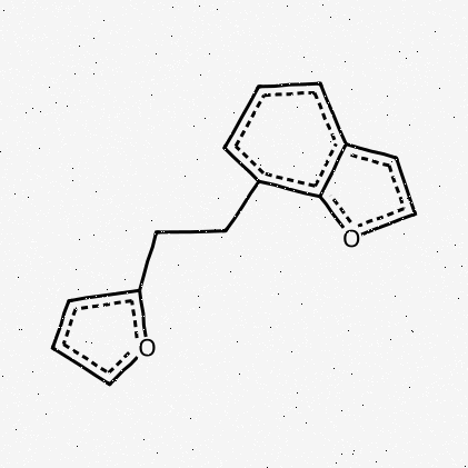 c1coc(CCc2cccc3ccoc23)c1